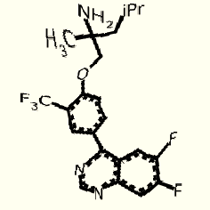 CC(C)CC(C)(N)COc1ccc(-c2ncnc3cc(F)c(F)cc23)cc1C(F)(F)F